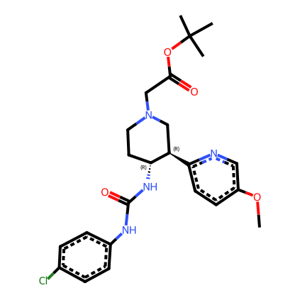 COc1ccc([C@@H]2CN(CC(=O)OC(C)(C)C)CC[C@H]2NC(=O)Nc2ccc(Cl)cc2)nc1